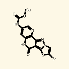 CC(C)(C)OC(=O)Nc1cnc2c(c1)[nH]c(=O)c1c2nn2cc(Br)sc12